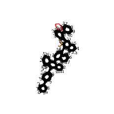 c1ccc(-c2ccc(-c3c4ccccc4c(-c4ccc(-c5c6ccccc6cc6c5sc5ccc7oc8ccccc8c7c56)c5ccccc45)c4ccccc34)cc2)cc1